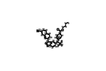 CCCCOC(=O)N1CC2CC1CN2C(c1ccc2nnc(-c3ccc4ccc(Br)cc4n3)n2c1)C(F)(F)F